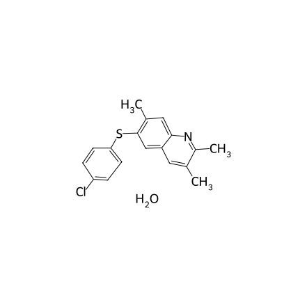 Cc1cc2nc(C)c(C)cc2cc1Sc1ccc(Cl)cc1.O